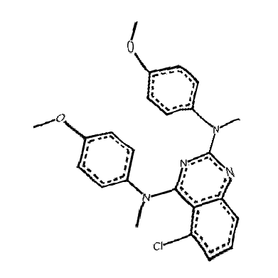 COc1ccc(N(C)c2nc(N(C)c3ccc(OC)cc3)c3c(Cl)cccc3n2)cc1